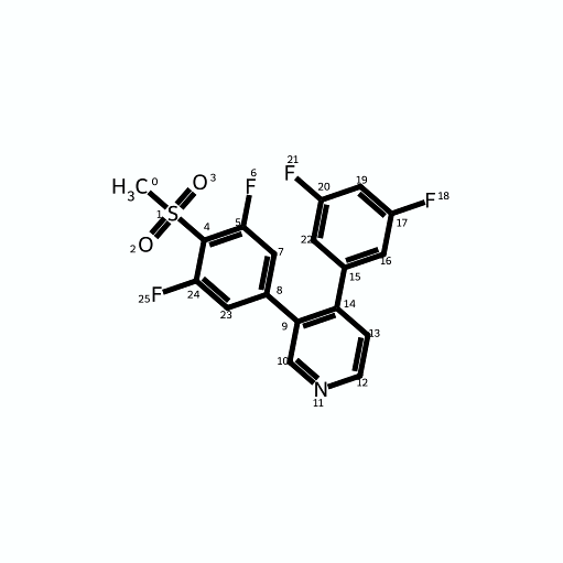 CS(=O)(=O)c1c(F)cc(-c2cnccc2-c2cc(F)cc(F)c2)cc1F